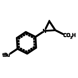 CC(C)(C)c1ccc(N2CC2C(=O)O)cc1